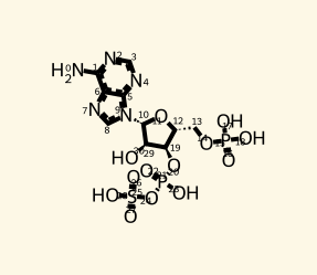 Nc1ncnc2c1ncn2[C@@H]1O[C@H](COP(=O)(O)O)[C@@H](OP(=O)(O)OS(=O)(=O)O)[C@H]1O